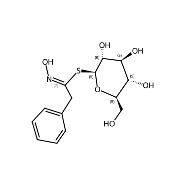 OC[C@H]1O[C@@H](S/C(Cc2ccccc2)=N\O)[C@H](O)[C@@H](O)[C@@H]1O